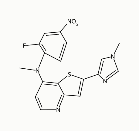 CN(c1ccc([N+](=O)[O-])cc1F)c1ccnc2cc(-c3cn(C)cn3)sc12